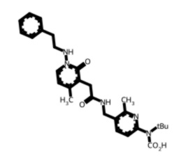 Cc1ccn(NCCc2ccccc2)c(=O)c1CC(=O)NCc1ccc(N(C(=O)O)C(C)(C)C)nc1C